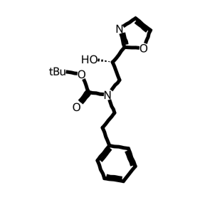 CC(C)(C)OC(=O)N(CCc1ccccc1)C[C@H](O)c1ncco1